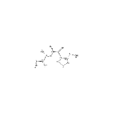 CC(C)C[C@@H](O)[C@H](O)C[C@H](C(=O)N1CCC[C@H]1CO)C(C)C